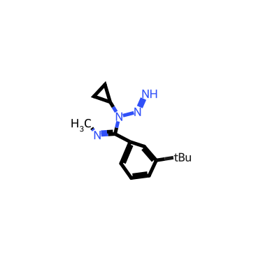 C/N=C(/c1cccc(C(C)(C)C)c1)N(N=N)C1CC1